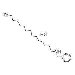 CC(C)CCCCCCCCCCCCCCNCc1ccccc1.Cl